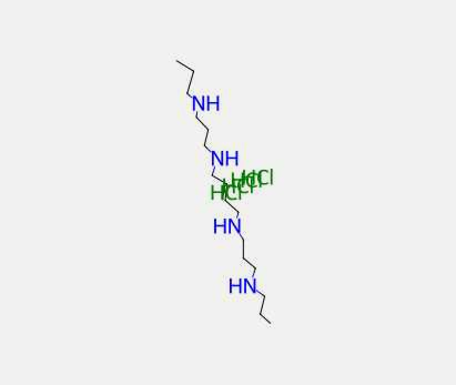 CCCNCCCNC/C=C/CNCCCNCCC.Cl.Cl.Cl.Cl